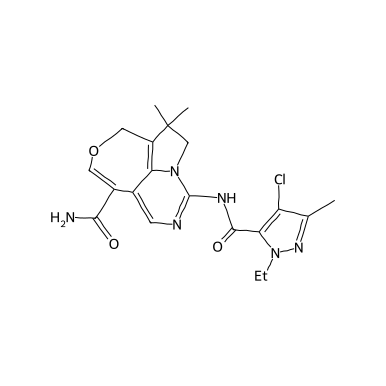 CCn1nc(C)c(Cl)c1C(=O)NC1=NC=C2C(C(N)=O)=COCC3=C2N1CC3(C)C